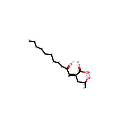 CCCCCCCCCC(=O)C=C(CC(C)O)C(=O)O